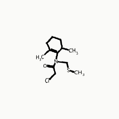 CSCN(C(=O)CCl)C1=C(C)CCCC1C